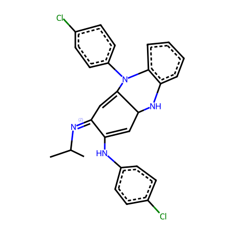 CC(C)/N=C1/C=C2C(C=C1Nc1ccc(Cl)cc1)Nc1ccccc1N2c1ccc(Cl)cc1